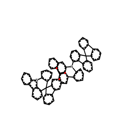 c1ccc(-c2cccc(-c3ccccc3N(c3cccc(-c4ccc5c(c4)C4(c6ccccc6-5)c5ccccc5-n5c6ccccc6c6cccc4c65)c3)c3cccc4c3-c3ccccc3C43c4ccccc4-c4ccccc43)c2)cc1